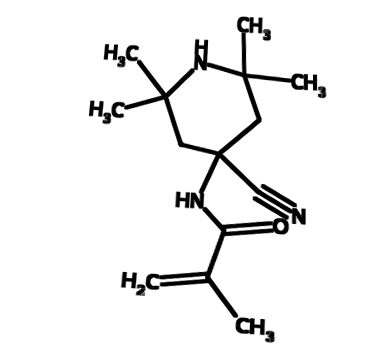 C=C(C)C(=O)NC1(C#N)CC(C)(C)NC(C)(C)C1